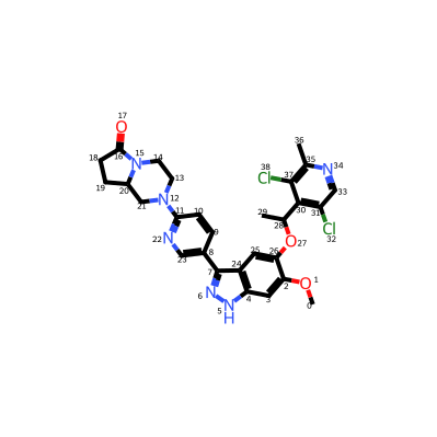 COc1cc2[nH]nc(-c3ccc(N4CCN5C(=O)CCC5C4)nc3)c2cc1OC(C)c1c(Cl)cnc(C)c1Cl